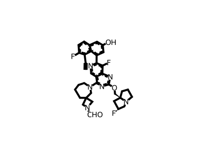 C#Cc1c(F)ccc2cc(O)cc(-c3ncc4c(N5CCCCC6(CN(C=O)C6)C5)nc(OC[C@@]56CCCN5C[C@H](F)C6)nc4c3F)c12